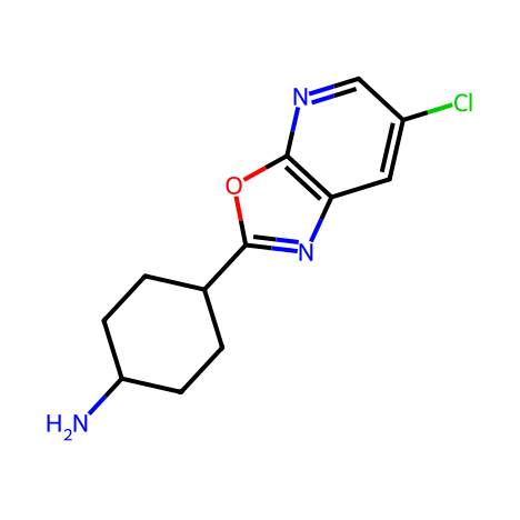 NC1CCC(c2nc3cc(Cl)cnc3o2)CC1